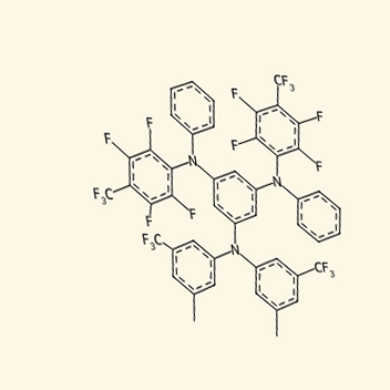 Cc1cc(N(c2cc(N(c3ccccc3)c3c(F)c(F)c(C(F)(F)F)c(F)c3F)cc(N(c3ccccc3)c3c(F)c(F)c(C(F)(F)F)c(F)c3F)c2)c2cc(C)cc(C(F)(F)F)c2)cc(C(F)(F)F)c1